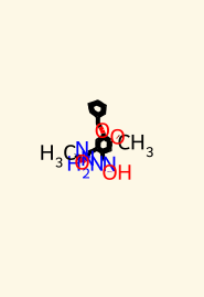 COc1cc(/C(N)=N/O)c(-c2noc(C)n2)cc1OCc1ccccc1